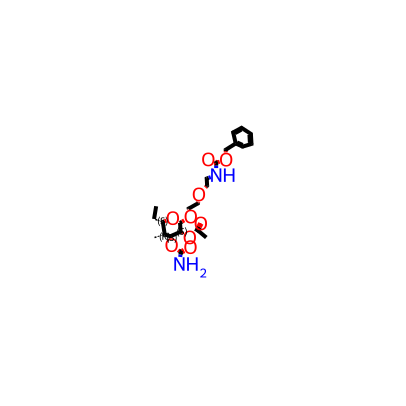 CC[C@@H]1OC(OCCOCCNC(=O)OCc2ccccc2)[C@@H](OC(C)=O)[C@@H](OC(N)=O)[C@@H]1C